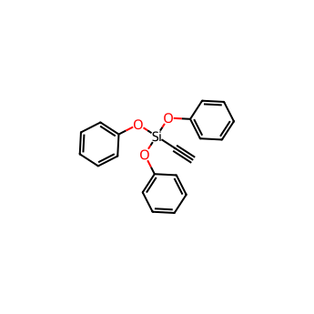 C#C[Si](Oc1ccccc1)(Oc1ccccc1)Oc1ccccc1